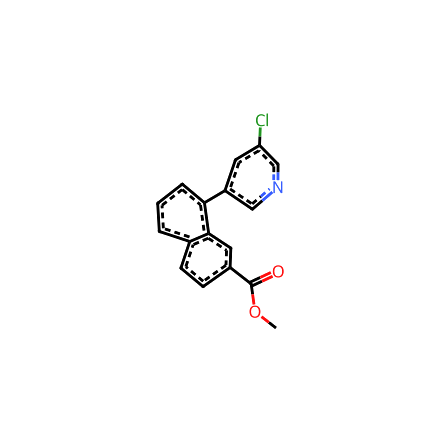 COC(=O)c1ccc2cccc(-c3cncc(Cl)c3)c2c1